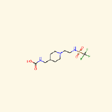 O=C(O)NCC1CCN(CCNS(=O)(=O)C(F)(F)F)CC1